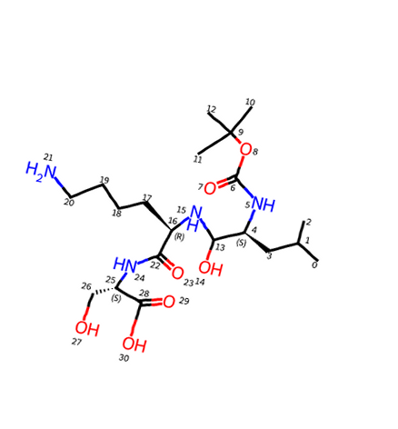 CC(C)C[C@H](NC(=O)OC(C)(C)C)C(O)N[C@H](CCCCN)C(=O)N[C@@H](CO)C(=O)O